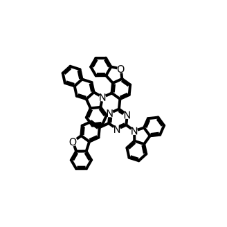 c1ccc2cc3c(cc2c1)c1ccccc1n3-c1c(-c2nc(-c3ccc4oc5ccccc5c4c3)nc(-n3c4ccccc4c4ccccc43)n2)ccc2oc3ccccc3c12